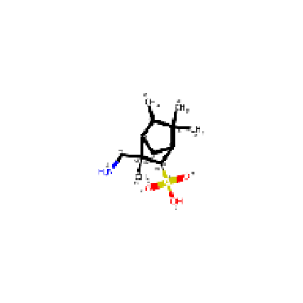 CC1C2CC([C@@H](S(=O)(=O)O)[C@]2(C)CN)C1(C)C